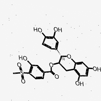 CS(=O)(=O)c1ccc(C(=O)OC2Cc3c(O)cc(O)cc3O[C@H]2c2ccc(O)c(O)c2)cc1O